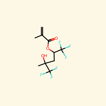 C=C(C)C(=O)OC(CC(C)(O)C(F)(F)F)C(F)(F)F